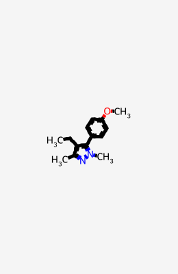 CCc1c(C)nn(C)c1-c1ccc(OC)cc1